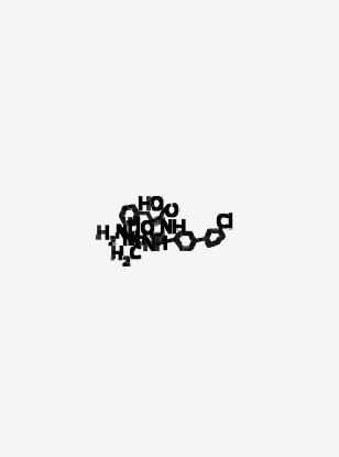 C=C(NNN)NC(=O)[C@H](Cc1ccc(-c2cccc(Cl)c2)cc1)N[C@@H](CCc1ccccc1)C(=O)O